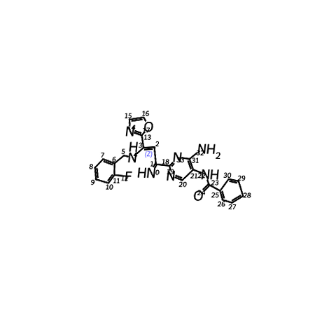 N=C(/C=C(\NCc1ccccc1F)c1ncco1)c1ncc(NC(=O)c2ccccc2)c(N)n1